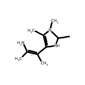 CC1=C(/C(C)=C(/C)N)NC(I)N1C